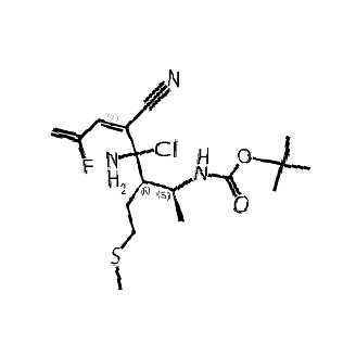 C=C(F)/C=C(/C#N)C(N)(Cl)[C@H](CCSC)[C@H](C)NC(=O)OC(C)(C)C